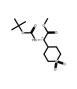 COC(=O)[C@@H](NC(=O)OC(C)(C)C)C1CCS(=O)(=O)CC1